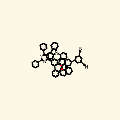 N#Cc1cc(C#N)cc(-c2ccc3c(c2)c2ccccc2n3-c2c(-c3ccccc3-n3c4ccccc4c4ccccc43)cc(-c3nc(-c4ccccc4)nc(-c4ccccc4)n3)cc2-c2ccccc2-n2c3ccccc3c3ccccc32)c1